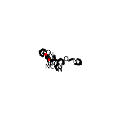 CC(C)(C)NCC(=O)N1C2CC1CN(c1ccc(-c3cc(OCCN4CC5CC(C4)O5)cn4ncc(C#N)c34)cn1)C2